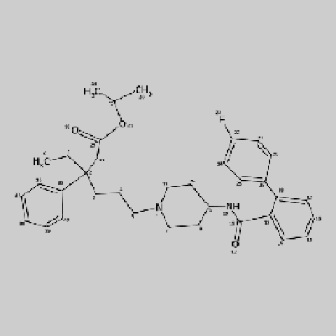 CCC(CCCN1CCC(NC(=O)c2ccccc2-c2ccc(F)cc2)CC1)(CC(=O)OC(C)C)c1ccccc1